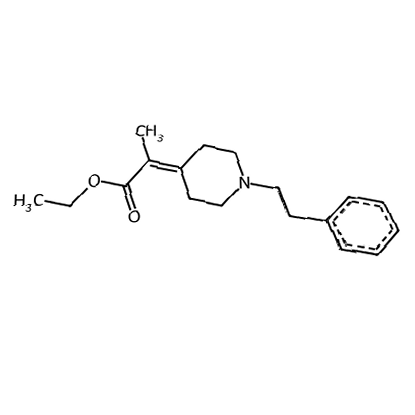 CCOC(=O)C(C)=C1CCN(CCc2ccccc2)CC1